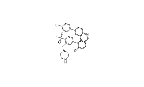 CS(=O)(=O)c1ccc(-n2c(=O)ccc3cnc4ccc(-c5ccc(Cl)cc5)cc4c32)cc1CN1CCNCC1